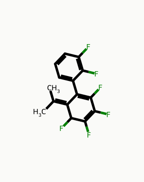 CC(C)=C1C(c2cccc(F)c2F)=C(F)C(F)=C(F)C1F